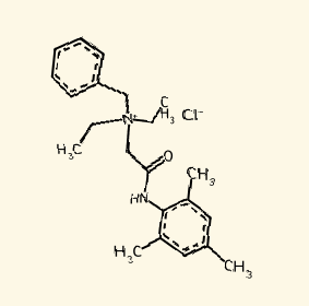 CC[N+](CC)(CC(=O)Nc1c(C)cc(C)cc1C)Cc1ccccc1.[Cl-]